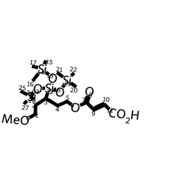 COCCC(CCOC(=O)C=CC(=O)O)[Si](O[Si](C)(C)C)(O[Si](C)(C)C)O[Si](C)(C)C